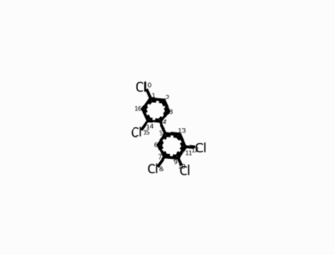 Clc1ccc(-c2cc(Cl)c(Cl)c(Cl)c2)c(Cl)c1